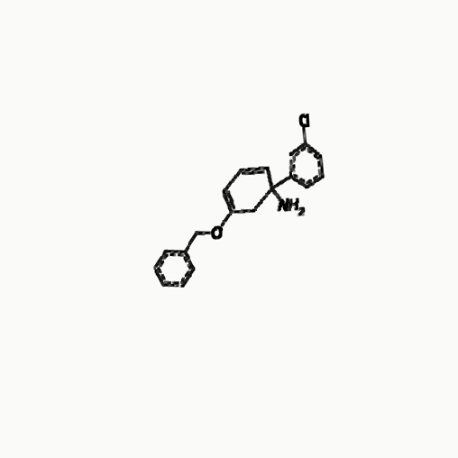 NC1(c2cccc(Cl)c2)C=CC=C(OCc2ccccc2)C1